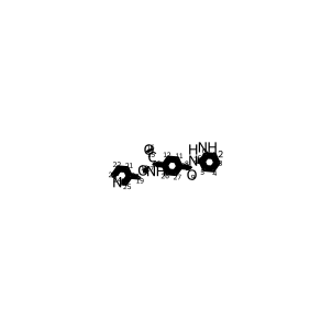 Nc1ccccc1NC(=O)c1ccc(C(=C=O)NOCc2cccnc2)cc1